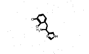 NC(Cc1cccc(Cl)c1Cl)c1c[nH]cn1